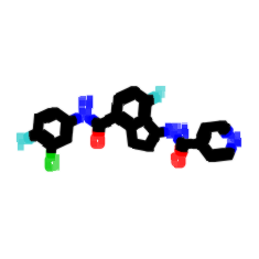 O=C(NC1CCc2c(C(=O)Nc3ccc(F)c(Cl)c3)ccc(F)c21)c1ccncc1